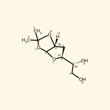 CC1(C)OC2O[C@H]([C@H](O)CO)C[C@H]2O1